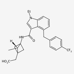 CCn1cc(C(=O)NC23CC(CC(=O)O)(C2)[C@@H]3C)c2c(Cc3ccc(C(F)(F)F)cc3)cccc21